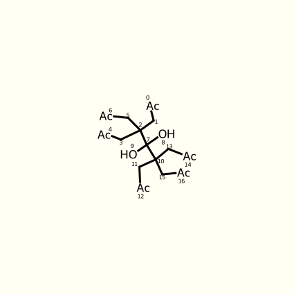 CC(=O)CC(CC(C)=O)(CC(C)=O)C(O)(O)C(CC(C)=O)(CC(C)=O)CC(C)=O